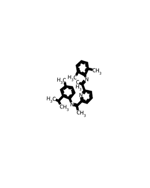 CC(=Nc1ccc(C)cc1C(C)C)c1cccc(C(C)=Nc2c(C)cccc2C)n1